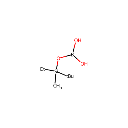 CC[Si](C)(OB(O)O)C(C)(C)C